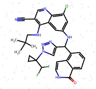 CC(C)(C)CNc1c(C#N)cnc2c(Cl)cc(NC(c3cn(C4(C(F)F)CC4)nn3)c3cccc4c(=O)[nH]ccc34)cc12